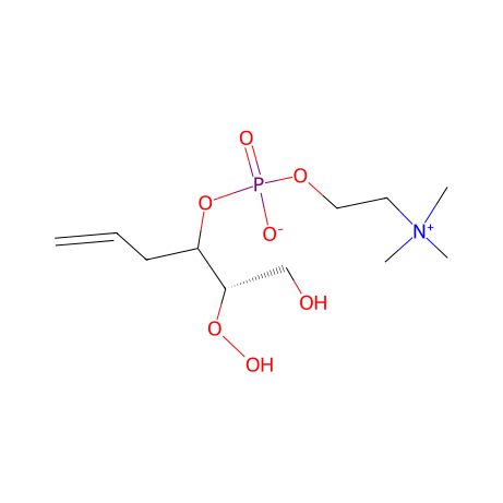 C=CCC(OP(=O)([O-])OCC[N+](C)(C)C)[C@H](CO)OO